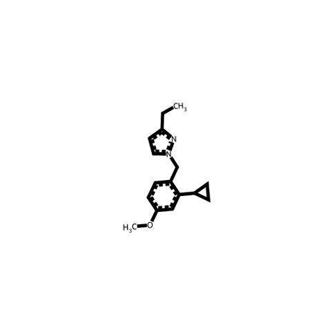 CCc1ccn(Cc2ccc(OC)cc2C2CC2)n1